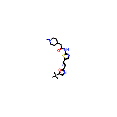 CN1CCC(CC(=O)Nc2ncc(/C=C/c3ncc([Si](C)(C)C)o3)s2)CC1